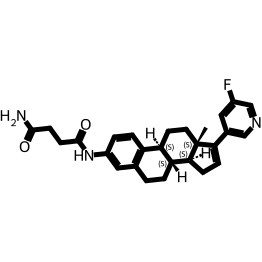 C[C@]12CC[C@@H]3c4ccc(NC(=O)CCC(N)=O)cc4CC[C@H]3[C@@H]1CC=C2c1cncc(F)c1